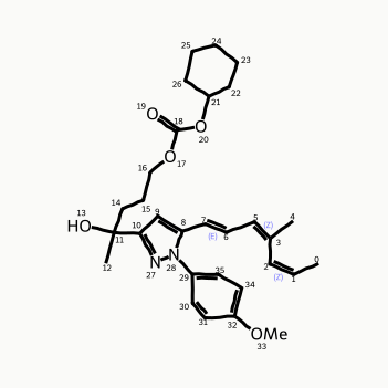 C\C=C/C(C)=C\C=C\c1cc(C(C)(O)CCCOC(=O)OC2CCCCC2)nn1-c1ccc(OC)cc1